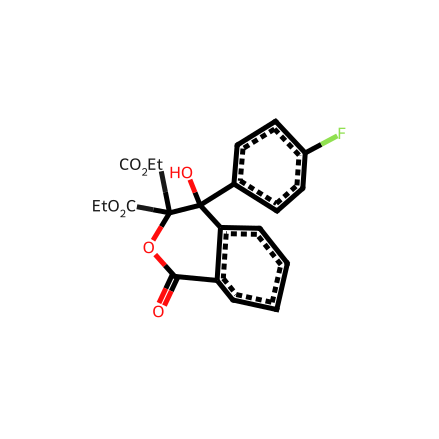 CCOC(=O)C1(C(=O)OCC)OC(=O)c2ccccc2C1(O)c1ccc(F)cc1